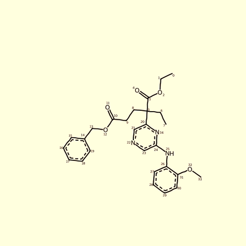 CCOC(=O)C(CC)(CCC(=O)OCc1ccccc1)c1cncc(Nc2ccccc2OC)n1